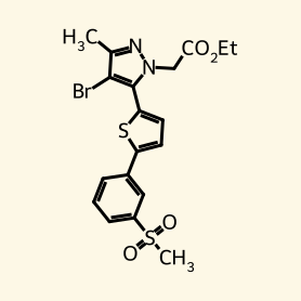 CCOC(=O)Cn1nc(C)c(Br)c1-c1ccc(-c2cccc(S(C)(=O)=O)c2)s1